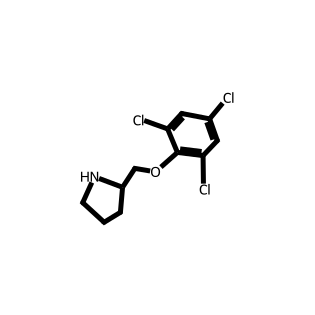 Clc1cc(Cl)c(OCC2CCCN2)c(Cl)c1